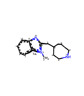 Cn1c(CC2CCNCC2)nc2ccccc21